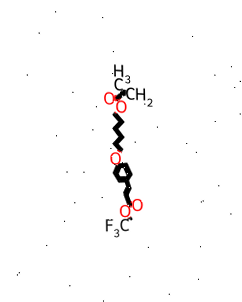 C=C(C)C(=O)OCCCCCCOc1ccc(/C=C/C(=O)OCC(F)(F)F)cc1